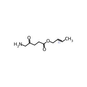 C/C=C/COC(=O)CCC(=O)CN